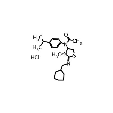 CC(=O)N(c1ccc(C(C)C)cc1)C1CSC(=NCC2CCCCC2)N1C.Cl